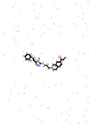 CCC(=O)c1ccc2c(c1)CN(CCCSc1nnc(-c3cc4ccccc4s3)n1C)CC2